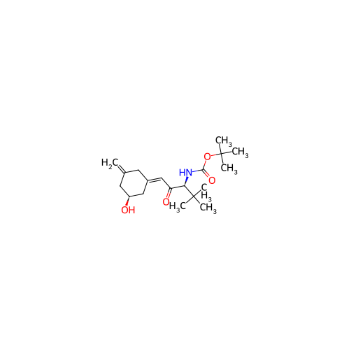 C=C1C/C(=C/C(=O)[C@@H](NC(=O)OC(C)(C)C)C(C)(C)C)C[C@@H](O)C1